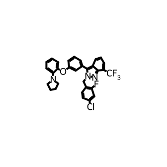 Fc1cc(Cl)ccc1Cn1nc2c(C(F)(F)F)cccc2c1-c1cccc(Oc2ccccc2N2CCCC2)c1